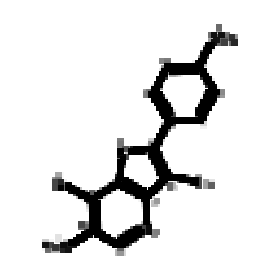 COc1ccc(-c2oc3c(Br)c(OC)cnc3c2I)cc1